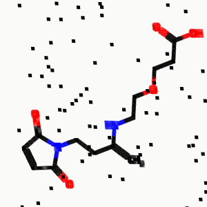 C=C(CCN1C(=O)C=CC1=O)NCCOCCC(=O)O